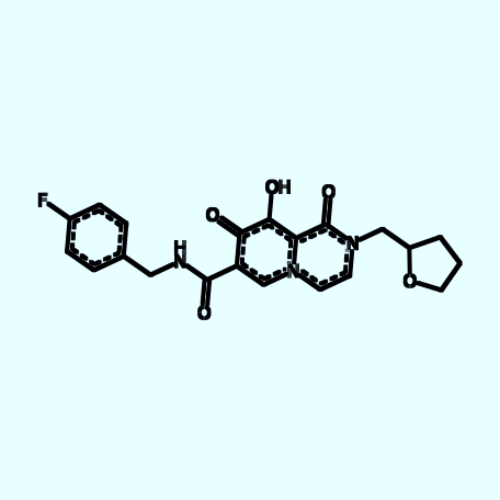 O=C(NCc1ccc(F)cc1)c1cn2ccn(CC3CCCO3)c(=O)c2c(O)c1=O